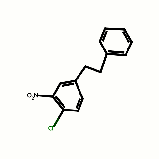 O=[N+]([O-])c1cc(CCc2ccccc2)ccc1Cl